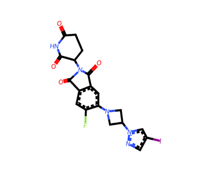 O=C1CCC(N2C(=O)c3cc(F)c(N4CC(n5cc(I)cn5)C4)cc3C2=O)C(=O)N1